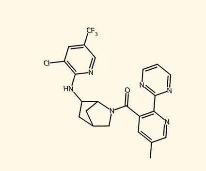 Cc1cnc(-c2ncccn2)c(C(=O)N2CC3CC(Nc4ncc(C(F)(F)F)cc4Cl)C2C3)c1